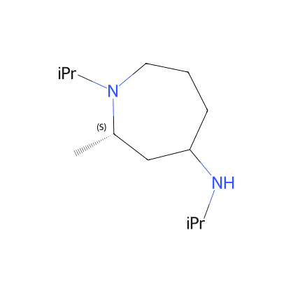 CC(C)NC1CCCN(C(C)C)[C@@H](C)C1